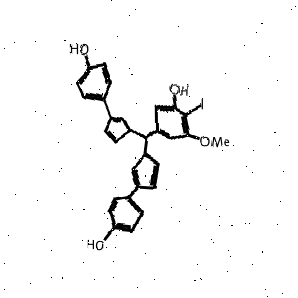 COc1cc(C(C2C=CC(c3ccc(O)cc3)=C2)C2C=CC(c3ccc(O)cc3)=C2)cc(O)c1I